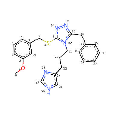 COc1cccc(CSc2nnc(Cc3ccccc3)n2CCCc2c[nH]cn2)c1